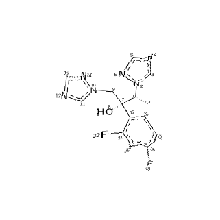 C[C@@H](n1cncn1)[C@](O)(Cn1cncn1)c1ccc(F)cc1F